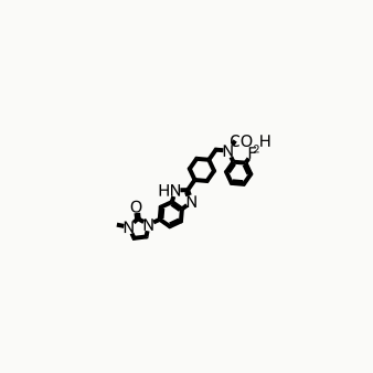 CN1CCN(c2ccc3nc(C4CCC(CN(C(=O)O)c5ccccc5F)CC4)[nH]c3c2)C1=O